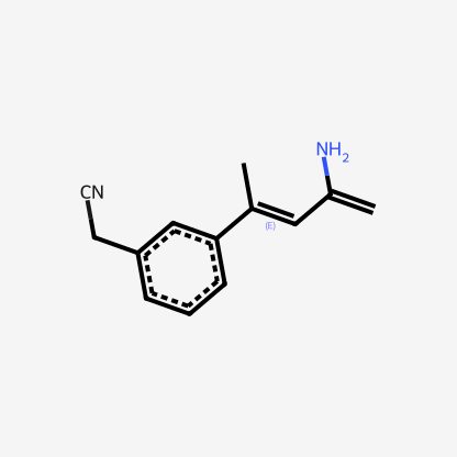 C=C(N)/C=C(\C)c1cccc(CC#N)c1